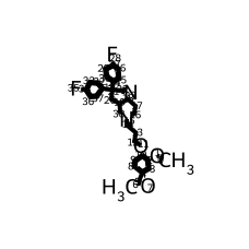 COc1cc(C(C)=O)ccc1OCCCN1CCCC(CC(C#N)(c2ccc(F)cc2)c2ccc(F)cc2)C1